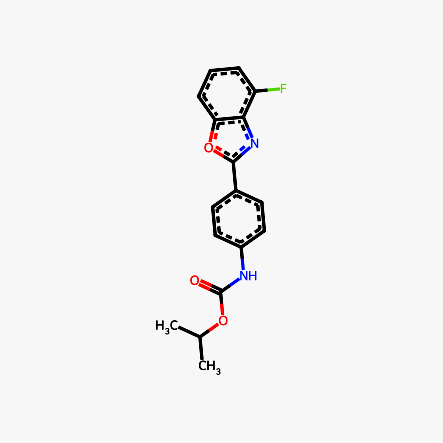 CC(C)OC(=O)Nc1ccc(-c2nc3c(F)cccc3o2)cc1